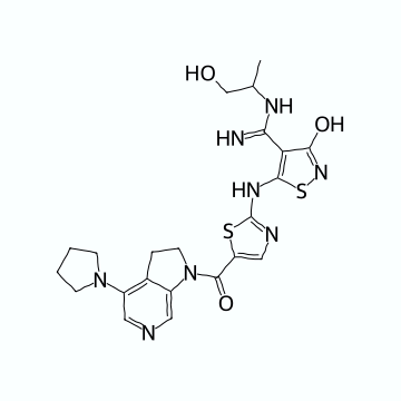 CC(CO)NC(=N)c1c(O)nsc1Nc1ncc(C(=O)N2CCc3c(N4CCCC4)cncc32)s1